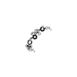 COS(=O)(=O)N1CCN(Cc2cccc(NC(=O)Nc3ccc(C)nc3)c2F)CC1